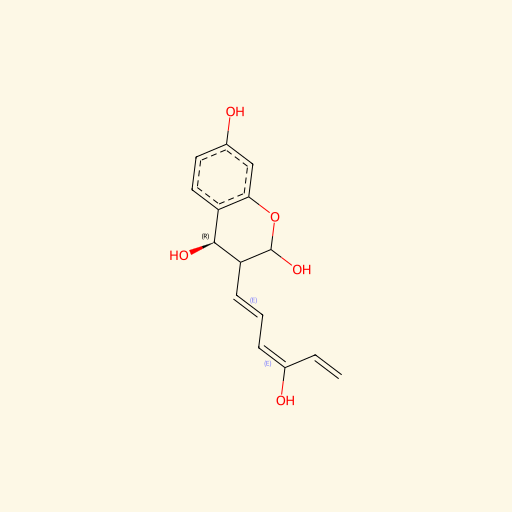 C=C/C(O)=C\C=C\C1C(O)Oc2cc(O)ccc2[C@@H]1O